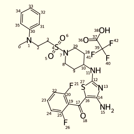 CN(CCS(=O)(=O)N1CCC(Nc2nc(N)c(C(=O)c3c(F)cccc3F)s2)CC1)c1ccccc1.O=C(O)C(F)(F)F